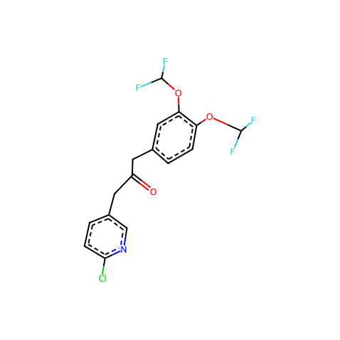 O=C(Cc1ccc(Cl)nc1)Cc1ccc(OC(F)F)c(OC(F)F)c1